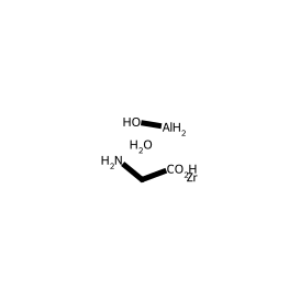 NCC(=O)O.O.[OH][AlH2].[Zr]